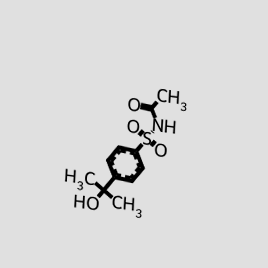 CC(=O)NS(=O)(=O)c1ccc(C(C)(C)O)cc1